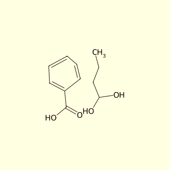 CCCC(O)O.O=C(O)c1ccccc1